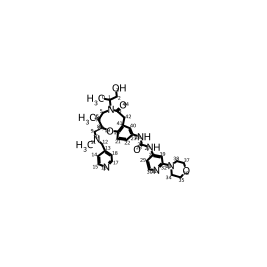 CC(CO)N1C[C@@H](C)[C@H](CN(C)Cc2ccncc2)Oc2ccc(NC(=O)Nc3ccnc(N4CCOCC4)c3)cc2CC1=O